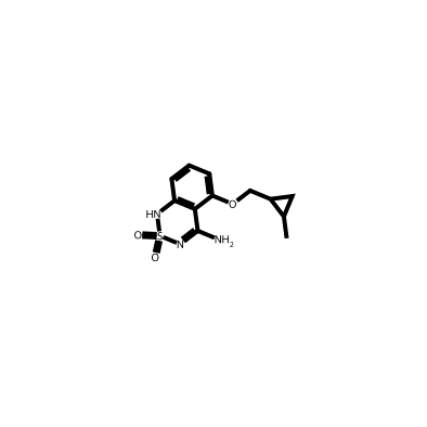 CC1CC1COc1cccc2c1C(N)=NS(=O)(=O)N2